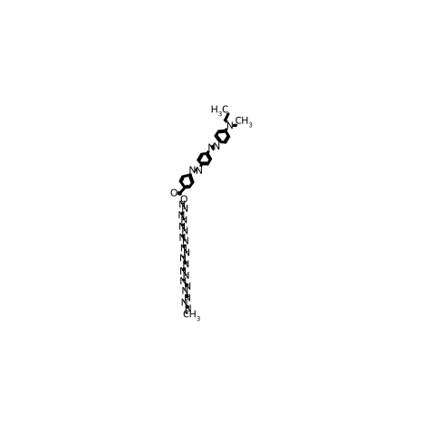 CCCN(CC)c1ccc(N=Nc2ccc(N=Nc3ccc(C(=O)ON=NN=NN=NN=NN=NN=NN=NN=NN=NN=NC)cc3)cc2)cc1